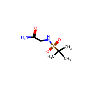 CC(C)(C)S(=O)(=O)NCC(N)=O